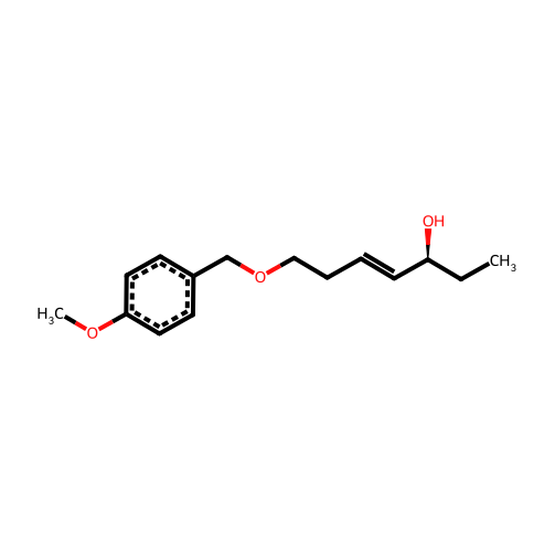 CC[C@H](O)/C=C/CCOCc1ccc(OC)cc1